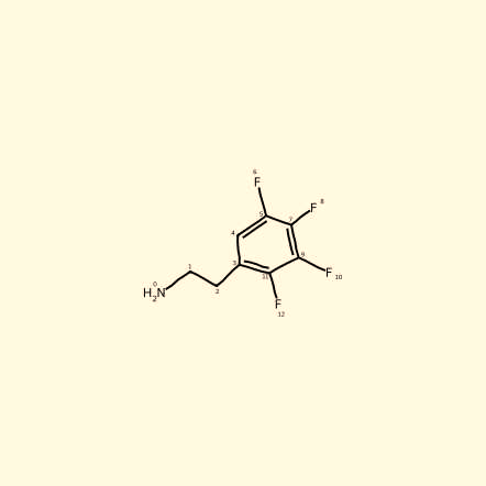 NCCc1cc(F)c(F)c(F)c1F